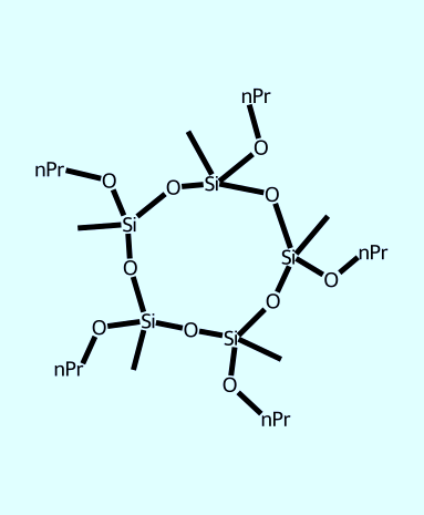 CCCO[Si]1(C)O[Si](C)(OCCC)O[Si](C)(OCCC)O[Si](C)(OCCC)O[Si](C)(OCCC)O1